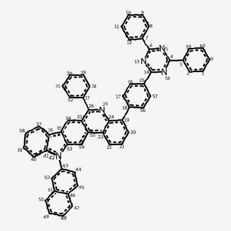 c1ccc(-c2nc(-c3ccccc3)nc(-c3ccc(-c4cccc5c4nc(-c4ccccc4)c4cc6c7ccccc7n(-c7ccc8ccccc8c7)c6cc45)cc3)n2)cc1